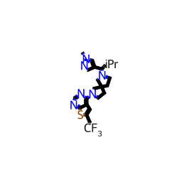 CC(C)C(c1cnn(C)c1)N1CCC2(CCN(c3ncnc4sc(CC(F)(F)F)cc34)C2)C1